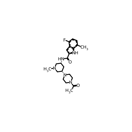 CC(=O)N1CCN([C@H]2C[C@@H](NC(=O)c3cc4c(F)ccc(C)c4[nH]3)CN(C)C2)CC1